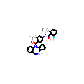 Cc1cc(NC(=O)c2c(F)cccc2C(F)(F)F)ccc1C(=O)N1c2ccccc2CNc2ccccc21